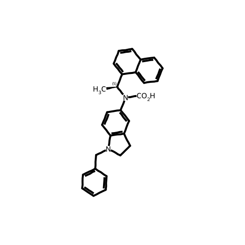 C[C@@H](c1cccc2ccccc12)N(C(=O)O)c1ccc2c(c1)CCN2Cc1ccccc1